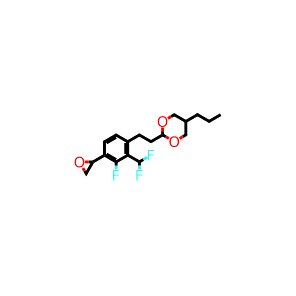 CCCC1COC(CCc2ccc(C3CO3)c(F)c2C(F)F)OC1